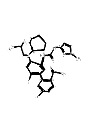 CC(C)CN(c1cc(F)c(-c2cc(F)ccc2C(=O)O)cc1NC(=O)Nc1ccn(C)n1)C1CCCCC1